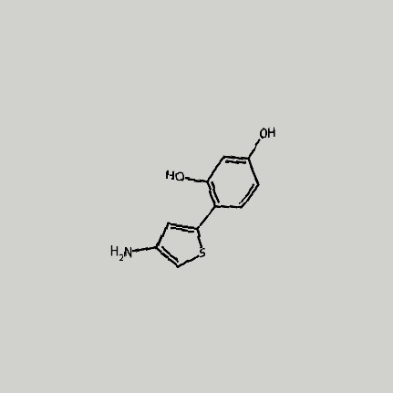 Nc1csc(-c2ccc(O)cc2O)c1